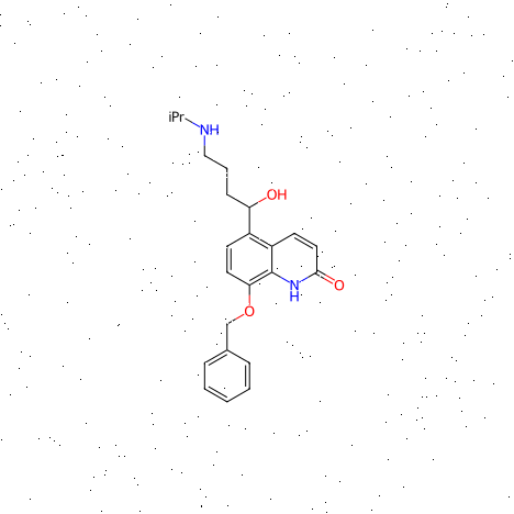 CC(C)NCCCC(O)c1ccc(OCc2ccccc2)c2[nH]c(=O)ccc12